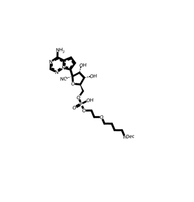 CCCCCCCCCCCCCCOCCOP(=O)(O)OC[C@H]1O[C@@](C#N)(c2ccc3c(N)ncnn23)[C@H](O)[C@@H]1O